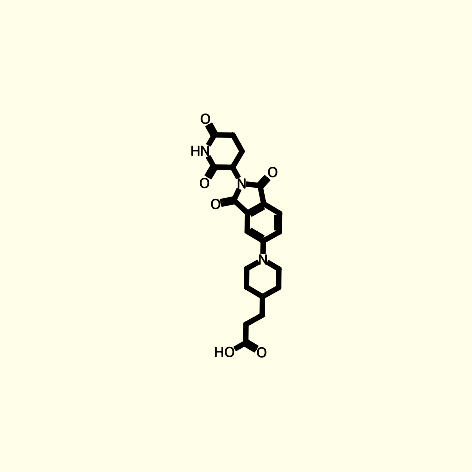 O=C(O)CCC1CCN(c2ccc3c(c2)C(=O)N(C2CCC(=O)NC2=O)C3=O)CC1